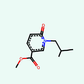 COC(=O)c1ccc(=O)n(CC(C)C)c1